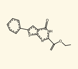 C=C(OCC)c1nc2sc(-c3ccccc3)cc2c(=O)[nH]1